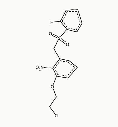 O=[N+]([O-])c1c(CS(=O)(=O)c2ccccc2I)cccc1OCCCl